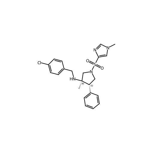 Cn1cnc(S(=O)(=O)N2C[C@H](c3ccccc3)[C@@](C)(NCc3ccc(Cl)cc3)C2)c1